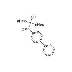 CCCCCCC(O)(CCCCCC)C(=O)c1ccc(-c2ccccc2)cc1